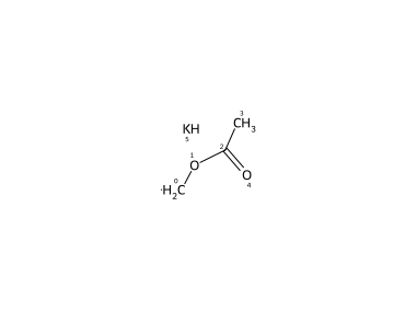 [CH2]OC(C)=O.[KH]